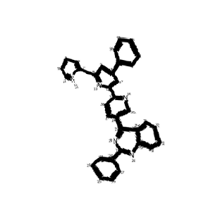 c1ccc(-c2cc(-c3ccccn3)nc(-c3ccc(-c4nc(-c5ccccc5)nc5ccccc45)cn3)c2)cc1